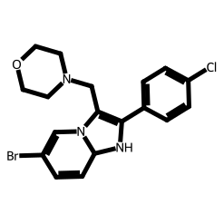 Clc1ccc(C2=C(CN3CCOCC3)N3C=C(Br)C=CC3N2)cc1